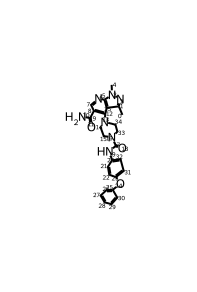 Cc1nn(C)c2ncc(C(N)=O)c(N3CCN(C(=O)Nc4ccc(Oc5ccccc5)cc4)CC3)c12